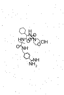 CC(C)(NC(=O)[C@H](NS(=O)(=O)N1CCOCC1)C1CCCCC1)C(=O)NCc1ccc(C(=N)N)cc1.Cl